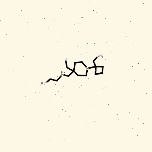 CCCNCC1(CCl)CCN(C2(CC)CCC2)CC1